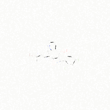 C/C(Br)=C\C=C(/C)c1onc(-c2ccc(F)cc2F)c1C(O)c1cccnc1